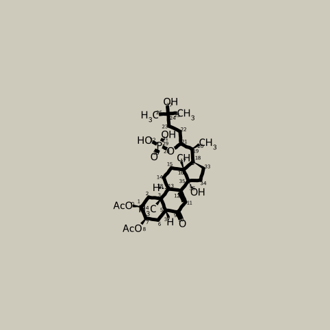 CC(=O)O[C@H]1C[C@@]2(C)[C@@H](C[C@H]1OC(C)=O)C(=O)C=C1[C@@H]2CC[C@]2(C)[C@@H]([C@H](C)C(CCC(C)(C)O)OP(=O)(O)O)CC[C@@]12O